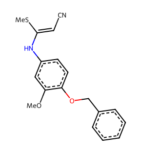 COc1cc(NC(=CC#N)SC)ccc1OCc1ccccc1